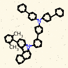 Cc1cccc(C)c1-c1ccc2c(c1)c1c3ccccc3ccc1n2-c1cccc(-c2ccc(N(c3ccc(-c4ccccc4)cc3)c3ccc(-c4ccccc4)cc3)cc2)c1